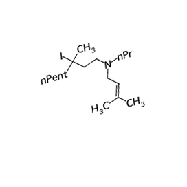 CCCCCC(C)(I)CCN(CC=C(C)C)CCC